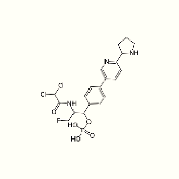 O=C(NC(CF)C(OP(=O)(O)O)c1ccc(-c2ccc(C3CCCN3)nc2)cc1)C(Cl)Cl